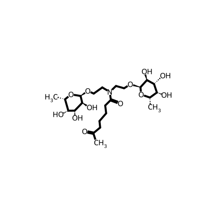 CC(=O)CCCCC(=O)N(CCO[C@@H]1O[C@@H](C)[C@@H](O)[C@@H](O)[C@@H]1O)CCO[C@@H]1O[C@@H](C)[C@@H](O)[C@@H](O)[C@@H]1O